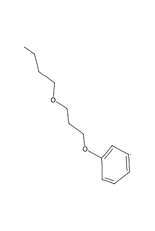 CCCCOCCCOc1c[c]ccc1